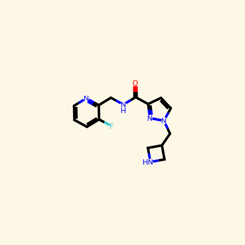 O=C(NCc1ncccc1F)c1ccn(CC2CNC2)n1